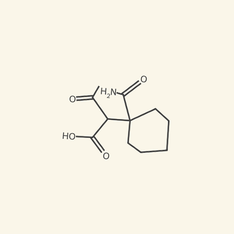 CC(=O)C(C(=O)O)C1(C(N)=O)CCCCC1